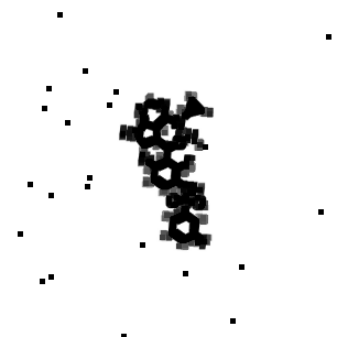 CN(c1ncnc2[nH]cc(C(=O)c3c(F)ccc(NS(=O)(=O)c4cccc(F)c4)c3F)c12)C1CC1